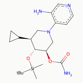 CC(C)(C)[Si](C)(C)O[C@@H]1[C@@H](C2CC2)CN(c2ccncc2N)C[C@H]1OC(N)=O